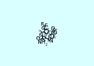 CC(Oc1cc(-c2cnc3ccc(CS(C)(=O)=O)cn23)sc1C(N)=O)c1ccccc1OC(F)F